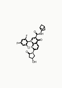 O=C(NC1CC2CC1C2)c1cn(-c2c(F)cc(F)cc2Cl)c2nc(N3C[C@@H](O)CC3=O)ccc2c1=O